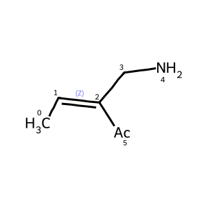 C/C=C(/CN)C(C)=O